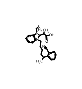 CCN1c2ccccc2N(CCCCC(C)c2ccccc2C#N)C1C(C)C(=O)O